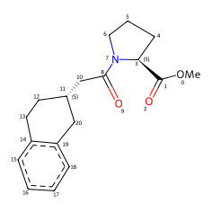 COC(=O)[C@@H]1CCCN1C(=O)C[C@H]1CCc2ccccc2C1